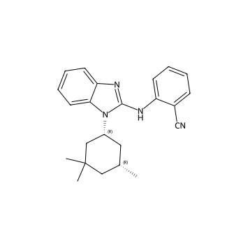 C[C@H]1C[C@@H](n2c(Nc3ccccc3C#N)nc3ccccc32)CC(C)(C)C1